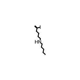 C=C(I)CCCCNCCCCC